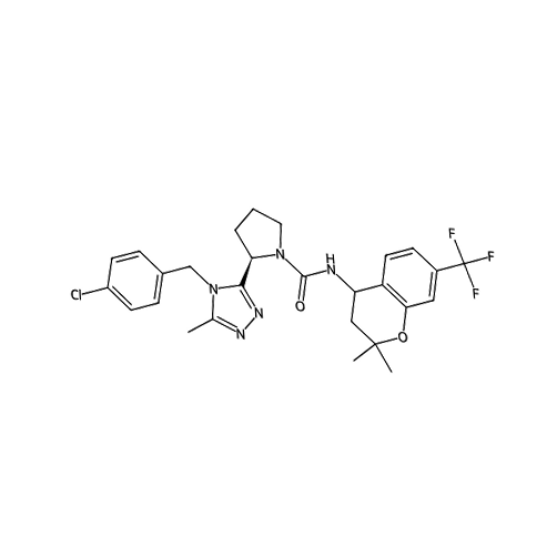 Cc1nnc([C@H]2CCCN2C(=O)NC2CC(C)(C)Oc3cc(C(F)(F)F)ccc32)n1Cc1ccc(Cl)cc1